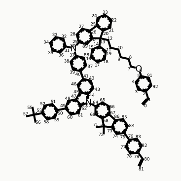 C=Cc1ccc(OCCCCCCC2(c3ccccc3)c3ccccc3-c3ccc(N(c4ccccc4)c4ccc(-c5ccc6c(c5)c5cc(-c7ccc(C(C)(C)C)cc7)ccc5n6-c5ccc6c(c5)C(C)(C)c5cc(-c7ccc(C=C)cc7)ccc5-6)cc4)cc32)cc1